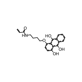 C=CC(=O)NCCCCOc1ccc(O)c2c(O)c3ccccc3c(O)c12